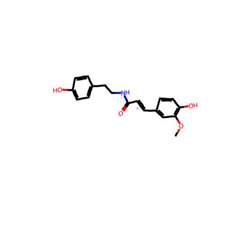 COc1cc(/C=C/C(=O)NCCc2ccc(O)cc2)ccc1O